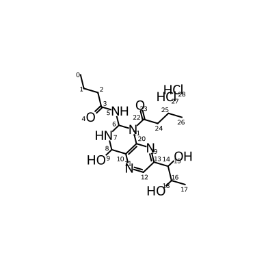 CCCC(=O)NC1NC(O)c2ncc(C(O)C(C)O)nc2N1C(=O)CCC.Cl.Cl